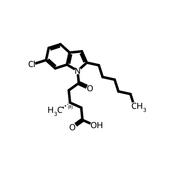 CCCCCCc1cc2ccc(Cl)cc2n1C(=O)C[C@@H](C)CC(=O)O